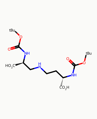 CC(C)(C)OC(=O)N[C@@H](CCNC[C@H](NC(=O)OC(C)(C)C)C(=O)O)C(=O)O